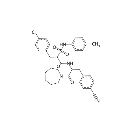 Cc1ccc(NS(=O)(=O)C(Cc2ccc(Cl)cc2)C(=O)NC(Cc2ccc(C#N)cc2)C(=O)N2CCCCCC2)cc1